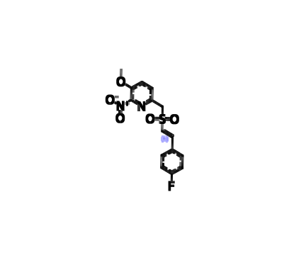 COc1ccc(CS(=O)(=O)/C=C/c2ccc(F)cc2)nc1[N+](=O)[O-]